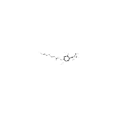 CC[C@H](C)[C@](C(=O)O)(c1ccc(CNC(=O)CCCCC=CC(C)C)cc1OC)N(CC)CC.Cl